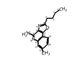 CCCCc1nc2c(N)nc3cc(C)ccc3c2o1